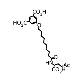 CC(=O)CC[C@H](NC(=O)CCCCCCCCCOc1cc(C(=O)O)cc(C(=O)O)c1)C(=O)O